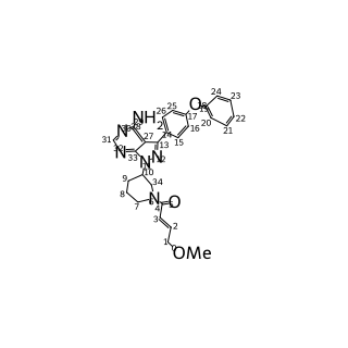 COC/C=C/C(=O)N1CCCC(n2nc(-c3ccc(Oc4ccccc4)cc3)c3c(N)ncnc32)C1